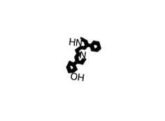 Oc1cccc(-c2ccnc(CC3CC(c4ccccc4)=CCN3)c2)c1